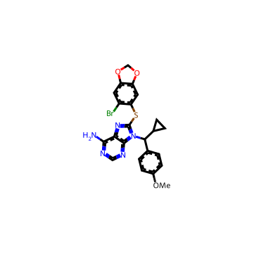 COc1ccc(C(C2CC2)n2c(Sc3cc4c(cc3Br)OCO4)nc3c(N)ncnc32)cc1